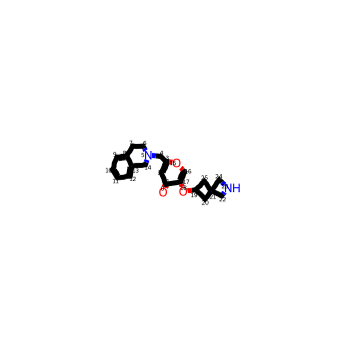 O=c1cc(CN2CCc3ccccc3C2)occ1OC1CC2(CNC2)C1